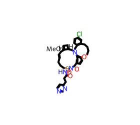 CO[C@H]1/C=C/CCC[S@@](=O)(NC(=O)CCc2ccncn2)=NC(=O)c2ccc3c(c2)N(Cc2ccc(Cl)cc2CCCCO3)C[C@@H]2CC[C@H]21